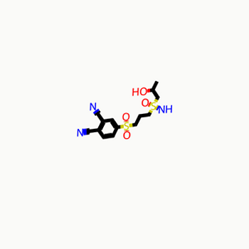 CC(O)CS(=N)(=O)CCCS(=O)(=O)c1ccc(C#N)c(C#N)c1